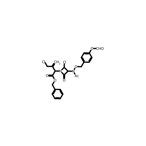 C=C(CCl)C(C(=O)OCc1ccccc1)N1C(=O)C(N(OCc2ccc(OC=O)cc2)C(C)=O)C1Cl